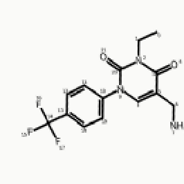 CCn1c(=O)c(CN)cn(-c2ccc(C(F)(F)F)cc2)c1=O